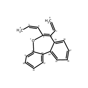 C=CC1=C(/C=C\C)Oc2ccccc2-c2ccccc21